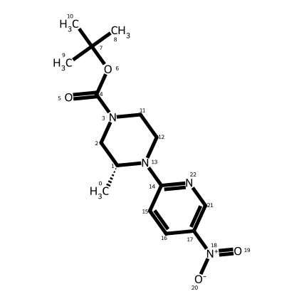 C[C@@H]1CN(C(=O)OC(C)(C)C)CCN1c1ccc([N+](=O)[O-])cn1